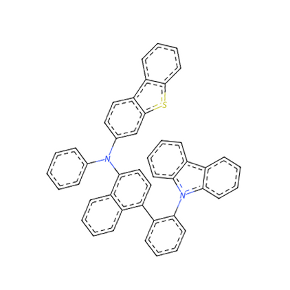 c1ccc(N(c2ccc3c(c2)sc2ccccc23)c2ccc(-c3ccccc3-n3c4ccccc4c4ccccc43)c3ccccc23)cc1